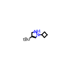 CC(C)(C)C1=CN(C2CCC2)NC1